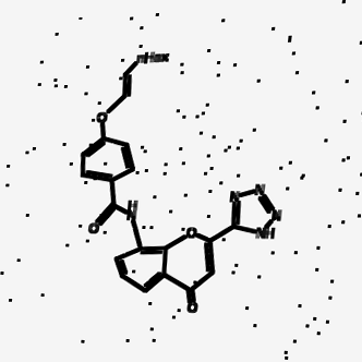 CCCCCC/C=C/Oc1ccc(C(=O)Nc2cccc3c(=O)cc(-c4nnn[nH]4)oc23)cc1